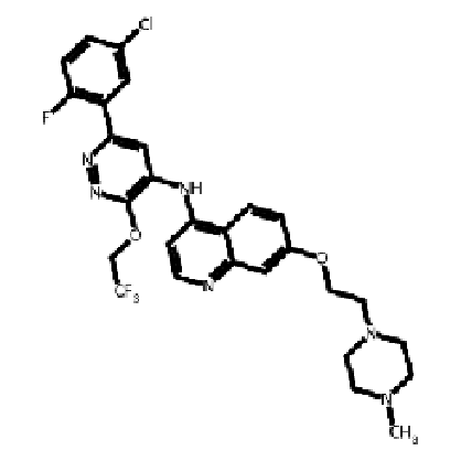 CN1CCN(CCOc2ccc3c(Nc4cc(-c5cc(Cl)ccc5F)nnc4OCC(F)(F)F)ccnc3c2)CC1